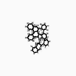 c1ccc(-c2nc3ccccc3nc2-n2c3cccc4c3c3c5c(cc6ccccc6c5c5ccccc5c32)-c2ccccc2-4)cc1